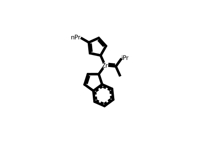 CCCC1=C[CH]([Zr](=[C](C)C(C)C)[CH]2C=Cc3ccccc32)C=C1